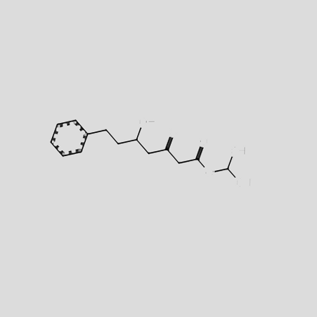 CC(C)OC(=O)CC(=O)CC(O)CCc1ccccc1